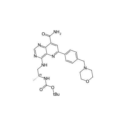 C[C@H](CNc1ncnc2c(C(N)=O)cc(-c3ccc(CN4CCOCC4)cc3)nc12)NC(=O)OC(C)(C)C